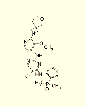 COc1c(Nc2ncc(Cl)c(Nc3ccccc3P(C)(C)=O)n2)ccnc1N1CC2(CCOC2)C1